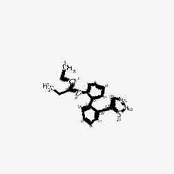 CCOC(CC)Oc1ccccc1-c1ccccc1-c1[c]nns1